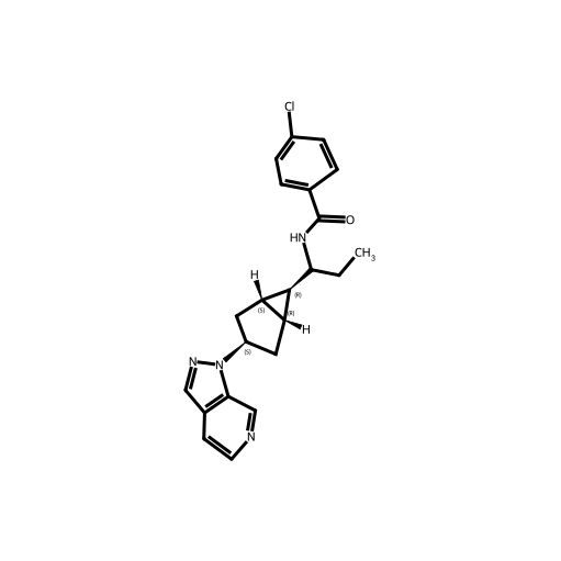 CCC(NC(=O)c1ccc(Cl)cc1)[C@H]1[C@@H]2C[C@@H](n3ncc4ccncc43)C[C@@H]21